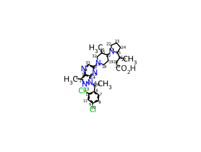 Cc1nn([C@H](C)c2ccc(Cl)cc2Cl)c2nc(N3CCC(N4CCCC4C(C)CC(=O)O)C(C)C3)cnc12